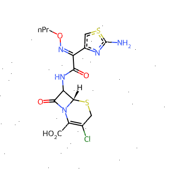 CCCON=C(C(=O)NC1C(=O)N2C(C(=O)O)=C(Cl)CS[C@@H]12)c1csc(N)n1